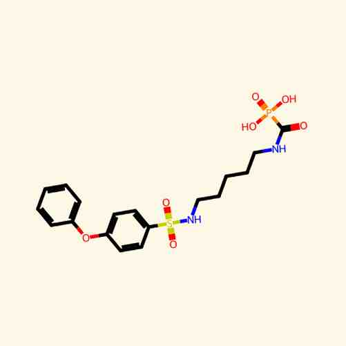 O=C(NCCCCCNS(=O)(=O)c1ccc(Oc2ccccc2)cc1)P(=O)(O)O